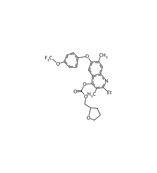 CCc1nc2cc(C)c(Oc3ccc(OC(F)(F)F)cc3)cc2c(OC(=O)OCC2CCCO2)c1C